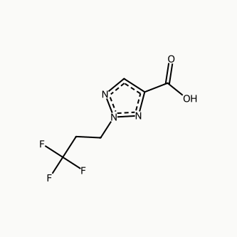 O=C(O)c1cnn(CCC(F)(F)F)n1